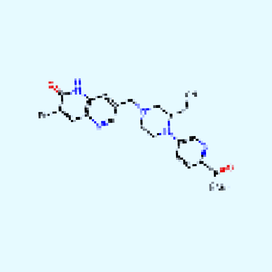 CCc1cc2ncc(CN3CCN(c4ccc(C(=O)NC)nc4)[C@@H](CC#N)C3)cc2[nH]c1=O